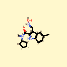 Cc1ccc2[nH]c(C(=O)N(C)C3CCCC3)c(C=NO)c2c1